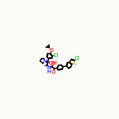 C[C@@H](NC(=O)C(=O)c1ccc(-c2ccc3sc(Cl)cc3c2)cc1)[C@](O)(c1ccc(OC2CC2)c(Cl)c1)N1CCCC1